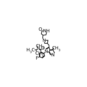 Cc1cncc2c1c(CC1CN(CC3CCNC(=O)C3)C1)cn2-c1ccc(F)cc1C(=O)N(C)C(C)C